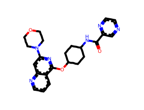 O=C(NC1CCC(Oc2nc(N3CCOCC3)cc3ncccc23)CC1)c1cnccn1